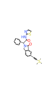 CS(C)(C)C#Cc1ccc2c(c1)C(=O)N(C(C(=O)Nc1nccs1)c1ccccc1)C2